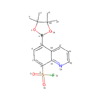 CC1(C)OB(c2ccc(S(=O)(=O)F)c3ncccc23)OC1(C)C